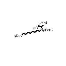 CCCCCCCCCCCCCCCCCCN(CCCCC)C(C)C(O)CCCCC